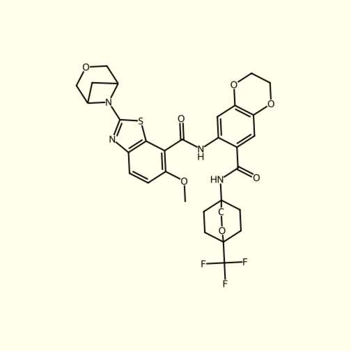 COc1ccc2nc(N3C4COCC3C4)sc2c1C(=O)Nc1cc2c(cc1C(=O)NC13CCC(C(F)(F)F)(CC1)OC3)OCCO2